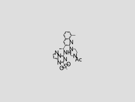 CC(=O)N1CCN(c2nc3c(C)cccc3cc2[C@H](C)Nc2nc(S(C)(=O)=O)nc3ccnn23)CC1